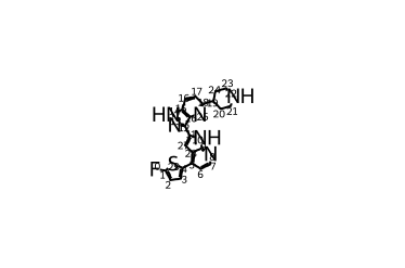 Fc1ccc(-c2ccnc3[nH]c(-c4n[nH]c5ccc(C6CCNCC6)nc45)cc23)s1